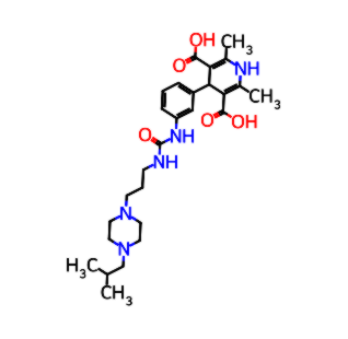 CC1=C(C(=O)O)C(c2cccc(NC(=O)NCCCN3CCN(CC(C)C)CC3)c2)C(C(=O)O)=C(C)N1